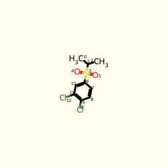 CC(C)S(=O)(=O)c1ccc(Cl)c(Cl)c1